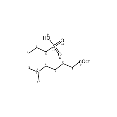 CCCCCCCCCCCCN(C)C.CCCS(=O)(=O)O